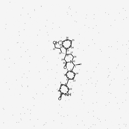 C[C@@H](c1ccc(-c2ccc(=O)[nH]c2)cc1)N1CC[C@](CCCO)(c2ccccc2)CC1=O